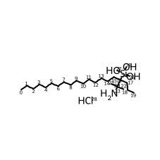 CCCCCCCCCCCCCCCCC(CCC)(C(C)(C)N)[Si](O)(O)O.Cl